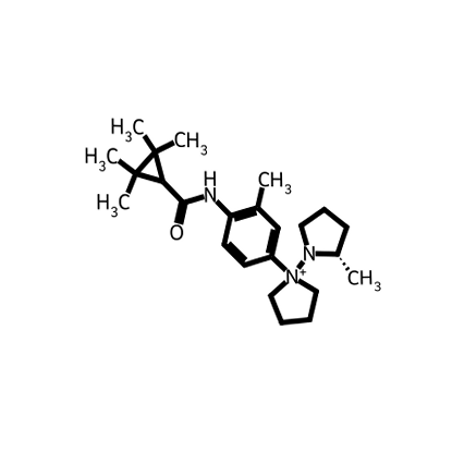 Cc1cc([N+]2(N3CCC[C@@H]3C)CCCC2)ccc1NC(=O)C1C(C)(C)C1(C)C